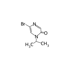 CC(C)n1cc(Br)ncc1=O